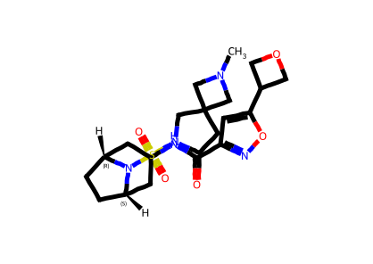 CN1CC2(CCN(S(=O)(=O)N3[C@@H]4CC[C@H]3CC(NC(=O)c3cc(C5COC5)on3)C4)C2)C1